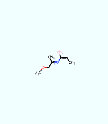 BC(=C/C)/N=C(\C)COC